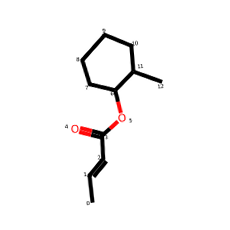 C/C=C/C(=O)OC1CCCCC1C